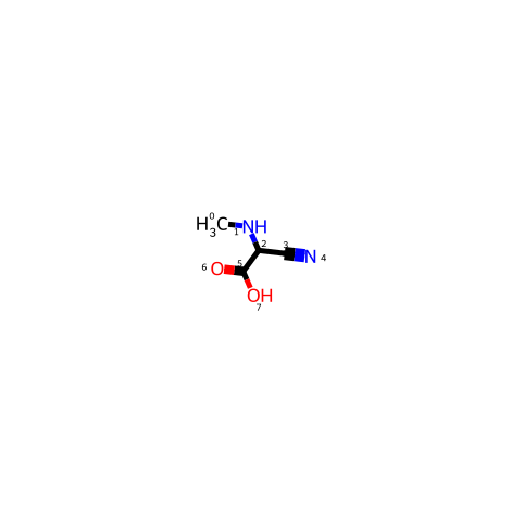 CNC(C#N)C(=O)O